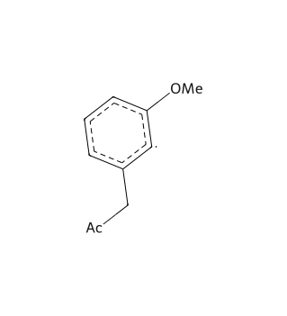 COc1[c]c(CC(C)=O)ccc1